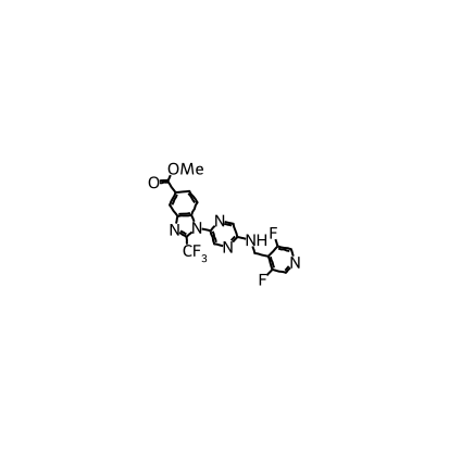 COC(=O)c1ccc2c(c1)nc(C(F)(F)F)n2-c1cnc(NCc2c(F)cncc2F)cn1